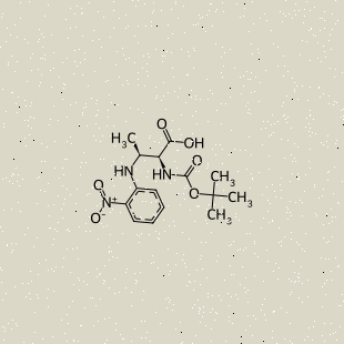 C[C@H](Nc1ccccc1[N+](=O)[O-])[C@H](NC(=O)OC(C)(C)C)C(=O)O